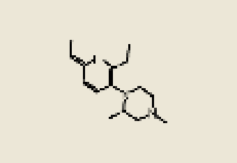 C/C=C(I)/C=C\C(=C(/C)CC)N1CCN(C)C[C@H]1C